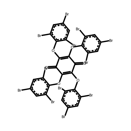 O=C1C(Oc2c(Br)cc(Br)cc2Br)=C(Oc2c(Br)cc(Br)cc2Br)C(=O)C(Oc2c(Br)cc(Br)cc2Br)=C1Oc1c(Br)cc(Br)cc1Br